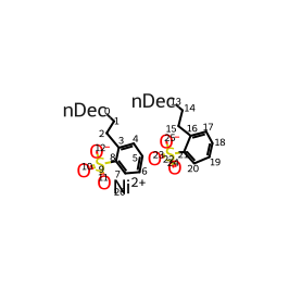 CCCCCCCCCCCCc1ccccc1S(=O)(=O)[O-].CCCCCCCCCCCCc1ccccc1S(=O)(=O)[O-].[Ni+2]